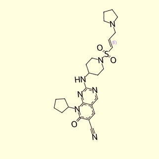 N#Cc1cc2cnc(NC3CCN(S(=O)(=O)/C=C/CN4CCCC4)CC3)nc2n(C2CCCC2)c1=O